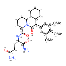 COc1cc(C(C(=O)N2CCCC[C@H]2C(=O)N[C@@H](CCC(N)=O)C(N)=O)C2CCCCC2)cc(OC)c1OC